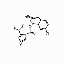 CCCC1C2CCC1(OC(=O)c1cn(C)nc1C(F)F)C1C=C(Cl)C=CC21